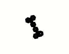 CC12CCCCC1(C)N(c1ccc(-c3ccc(-n4c5ccccc5c5ccccc54)cc3)cc1)c1ccccc12